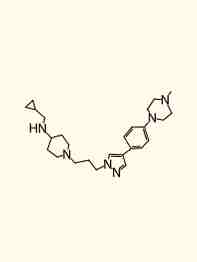 CN1CCN(c2ccc(-c3cnn(CCCN4CCC(NCC5CC5)CC4)c3)cc2)CC1